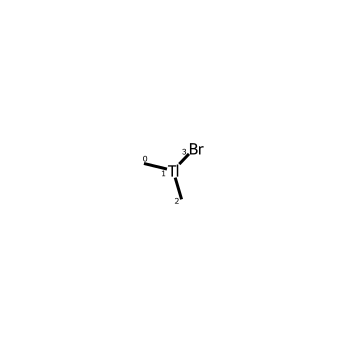 [CH3][Tl]([CH3])[Br]